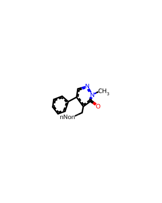 CCCCCCCCCCc1c(-c2ccccc2)cnn(C)c1=O